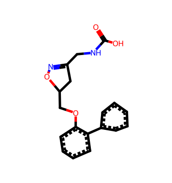 O=C(O)NCC1=NOC(COc2ccccc2-c2ccccc2)C1